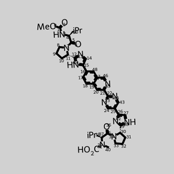 COC(=O)N[C@H](C(=O)N1CCC[C@H]1c1ncc(-c2ccc3cc(-c4ncc(-c5c[nH]c([C@@H]6CCCN6C(=O)[C@H](C(C)C)N(C)C(=O)O)n5)cn4)ncc3c2)[nH]1)C(C)C